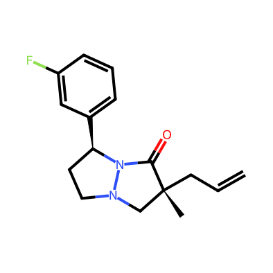 C=CC[C@]1(C)CN2CC[C@@H](c3cccc(F)c3)N2C1=O